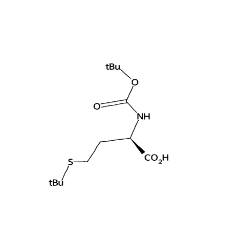 CC(C)(C)OC(=O)N[C@H](CCSC(C)(C)C)C(=O)O